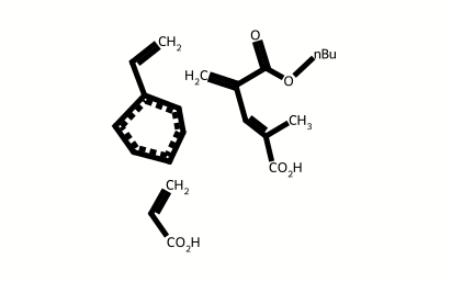 C=C(C=C(C)C(=O)O)C(=O)OCCCC.C=CC(=O)O.C=Cc1ccccc1